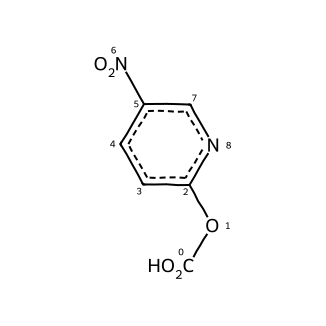 O=C(O)Oc1ccc([N+](=O)[O-])cn1